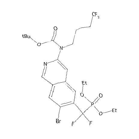 CCOP(=O)(OCC)C(F)(F)c1cc2cc(N(CCCC(F)(F)F)C(=O)OC(C)(C)C)ncc2cc1Br